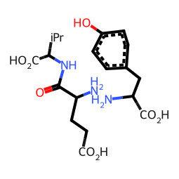 CC(C)C(NC(=O)C(N)CCC(=O)O)C(=O)O.NC(Cc1ccc(O)cc1)C(=O)O